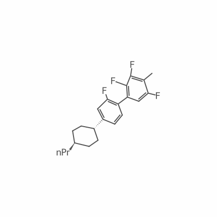 CCC[C@H]1CC[C@H](c2ccc(-c3cc(F)c(C)c(F)c3F)c(F)c2)CC1